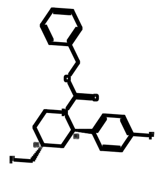 O=C(OCc1ccccc1)N1CC[C@@H](CF)C[C@@H]1c1ccc(F)cc1